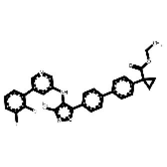 CCOC(=O)C1(c2ccc(-c3ccc(-c4onc(C)c4Nc4cncc(-c5cccc(F)c5Cl)c4)cc3)cc2)CC1